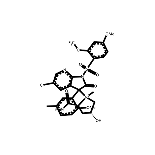 CNC(=O)[C@@H]1C[C@@H](O)C[N+]1(C)C1(c2cc(C)ccc2OC)C(=O)N(S(=O)(=O)c2ccc(OC)cc2OC(F)(F)F)c2ncc(Cl)cc21